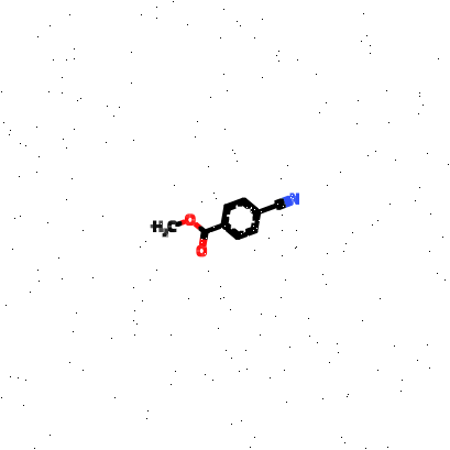 [CH2]OC(=O)c1ccc(C#N)cc1